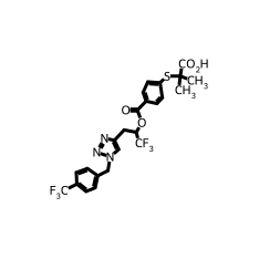 CC(C)(Sc1ccc(C(=O)OC(Cc2cn(Cc3ccc(C(F)(F)F)cc3)nn2)C(F)(F)F)cc1)C(=O)O